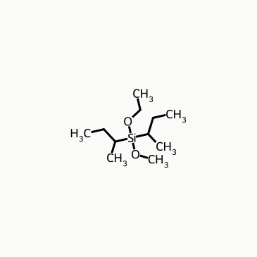 CCO[Si](OC)(C(C)CC)C(C)CC